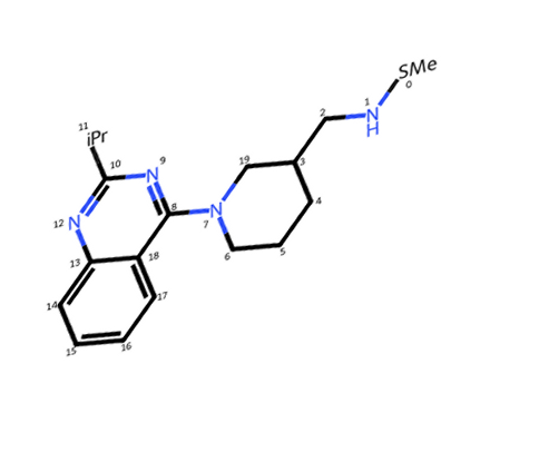 CSNCC1CCCN(c2nc(C(C)C)nc3ccccc23)C1